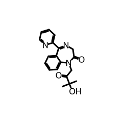 CC(C)(O)C(=O)CN1C(=O)CN=C(c2ccccn2)c2ccccc21